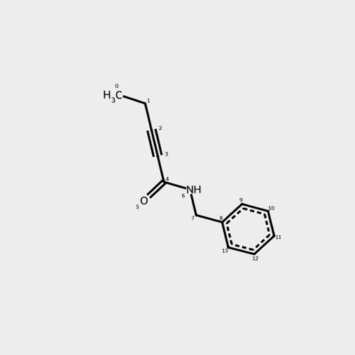 CCC#CC(=O)NCc1ccccc1